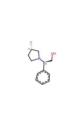 OC[C@@H](c1ccccc1)N1CC[C@H](F)C1